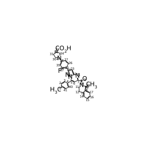 Cc1ccc(-c2cc(C(=O)N3CCc4ccccc4[C@H]3C)nc3cc(-c4ccc(N5CC[C@H](C(=O)O)C5)cc4F)nn23)cc1